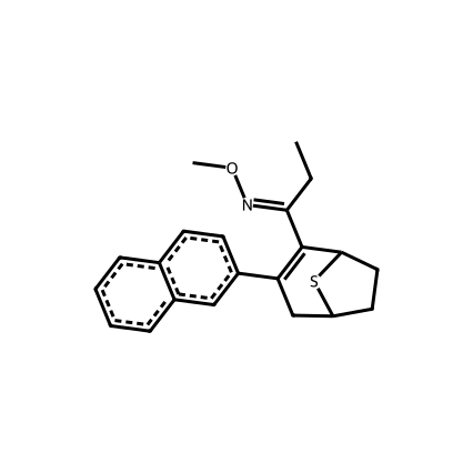 CCC(=NOC)C1=C(c2ccc3ccccc3c2)CC2CCC1S2